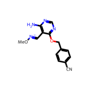 CO/N=C/c1c(N)ncnc1OCc1ccc(C#N)cc1